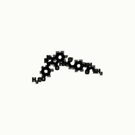 COc1ccc(C2=C3C(=O)c4c(NC(=O)Cc5ccc(NC(=O)CN)cc5)cccc4C3N=N2)cc1